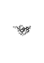 CCCCN(C)/C=C\c1cc(-c2ccc3c(c2)N=C(N)CC(C(=O)N(CCC)CCC)=C3)ccc1C=O